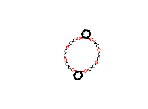 c1ccc2c(c1)OCCOCCOCCOc1ccccc1OCCOCCOCCO2